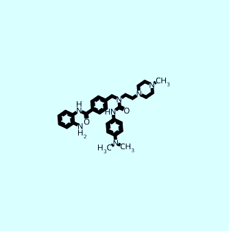 CN1CCN(CCN(Cc2ccc(C(=O)Nc3ccccc3N)cc2)C(=O)Nc2ccc(N(C)C)cc2)CC1